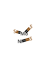 [S]=[Mo]=[S].[S]=[Ni]